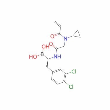 C=CC(=O)N(CC(=O)N[C@@H](Cc1ccc(Cl)c(Cl)c1)B(O)O)C1CC1